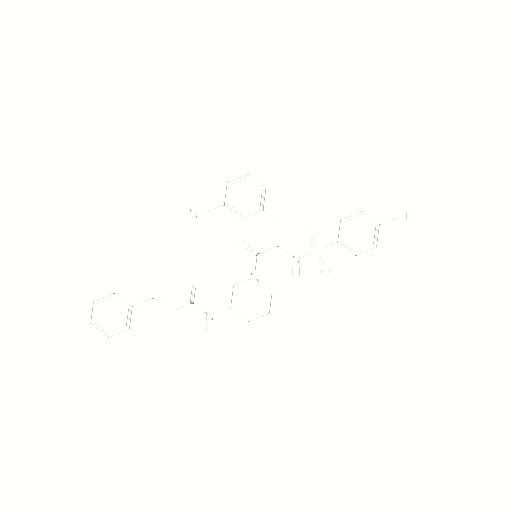 Cc1ccc(S(=O)(=O)N[C@@H](Cc2cccc(C#N)c2)C(=O)N2CCC[C@H](NC(=O)OCc3ccccc3)C2)cc1